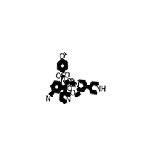 CCOc1ncccc1C1(OC(=O)N2CCC(C3CCNCC3)CC2)C(=O)N(S(=O)(=O)c2ccc(OC)cc2)c2ccc(C#N)cc21